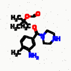 CC(C)(C)OC=O.Cc1ccc(C(=O)N2CCNCC2)cc1N